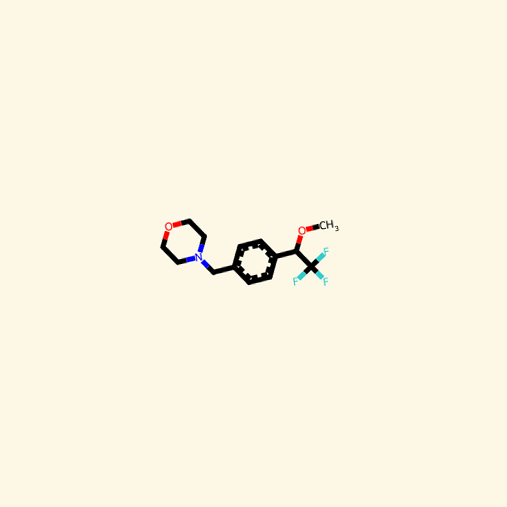 COC(c1ccc(CN2CCOCC2)cc1)C(F)(F)F